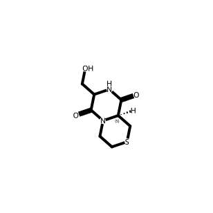 O=C1NC(CO)C(=O)N2CCSC[C@H]12